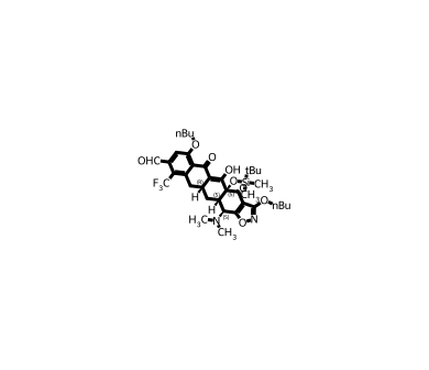 CCCCOc1cc(C=O)c(C(F)(F)F)c2c1C(=O)C1=C(O)[C@]3(O[Si](C)(C)C(C)(C)C)C(=O)c4c(OCCCC)noc4[C@@H](N(C)C)[C@@H]3C[C@@H]1C2